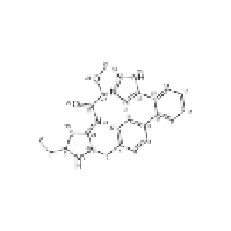 CCC1NN(Cc2ccc(-c3ccccc3-c3nnn[nH]3)cc2)C(=NC(=O)COC)S1